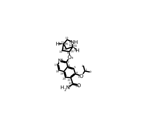 CC(C)Oc1cc2c(O[C@H]3C[C@@H]4CN[C@H]3C4)nccc2cc1C(N)=O